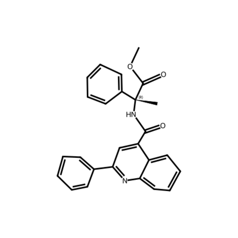 COC(=O)[C@](C)(NC(=O)c1cc(-c2ccccc2)nc2ccccc12)c1ccccc1